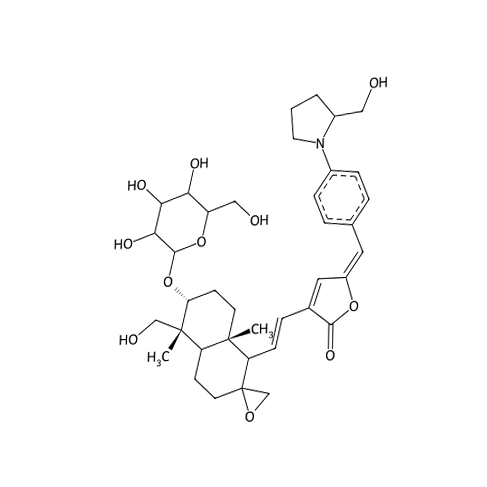 C[C@]12CC[C@@H](OC3OC(CO)C(O)C(O)C3O)[C@@](C)(CO)C1CCC1(CO1)C2/C=C/C1=CC(=C\c2ccc(N3CCCC3CO)cc2)/OC1=O